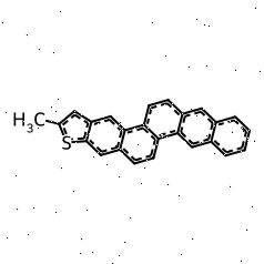 Cc1cc2cc3c(ccc4c5cc6ccccc6cc5ccc34)cc2s1